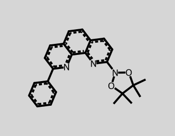 CC1(C)ON(c2ccc3ccc4ccc(-c5ccccc5)nc4c3n2)OC1(C)C